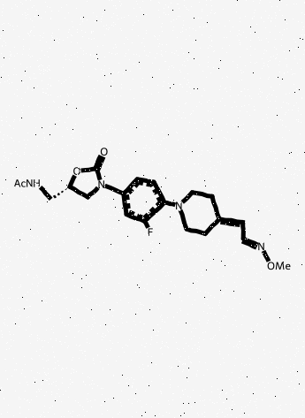 CON=CC=C1CCN(c2ccc(N3C[C@H](CNC(C)=O)OC3=O)cc2F)CC1